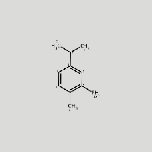 Cc1ccc(C(C)C)cc1P